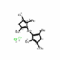 CCC(C)C1=[C]([Zr+2][C]2=C(C(C)CC)CC(C(C)CC)=C2C(C)CC)C(C(C)CC)=C(C(C)CC)C1.[Cl-].[Cl-]